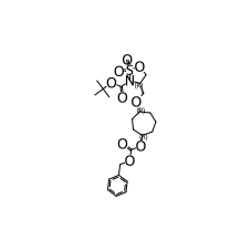 CC(C)(C)OC(=O)N1[C@H](CO[C@@H]2CCC[C@@H](OC(=O)OCc3ccccc3)CC2)COS1(=O)=O